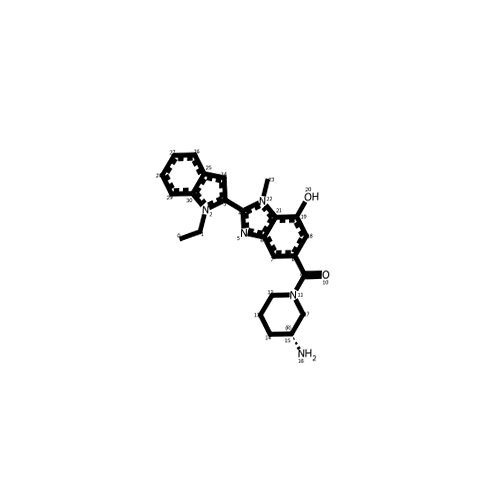 CCn1c(-c2nc3cc(C(=O)N4CCC[C@@H](N)C4)cc(O)c3n2C)cc2ccccc21